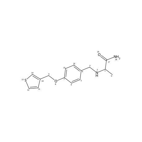 CC(NCc1ccc(OCc2ccsc2)cc1)C(N)=O